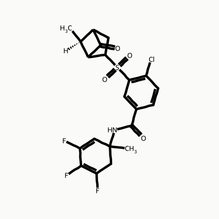 C[C@H]1C2CC(S(=O)(=O)c3cc(C(=O)NC4(C)C=C(F)C(F)=C(F)C4)ccc3Cl)C1C2=O